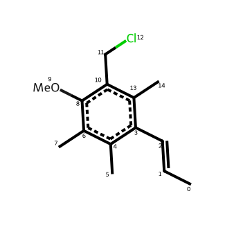 C/C=C/c1c(C)c(C)c(OC)c(CCl)c1C